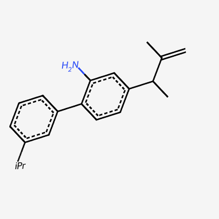 C=C(C)C(C)c1ccc(-c2cccc(C(C)C)c2)c(N)c1